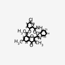 Cc1cc([C@@H](C)Oc2ccc(Cl)nc2C(N)=O)c2oc(-c3nc4ccccc4o3)c(C)c(=O)c2c1